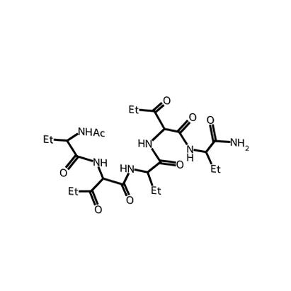 CCC(=O)C(NC(=O)C(CC)NC(=O)C(NC(=O)C(CC)NC(C)=O)C(=O)CC)C(=O)NC(CC)C(N)=O